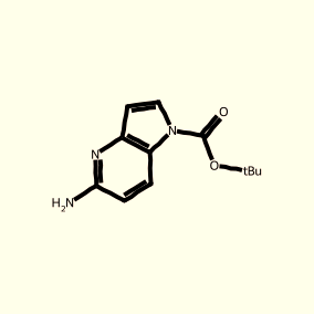 CC(C)(C)OC(=O)n1ccc2nc(N)ccc21